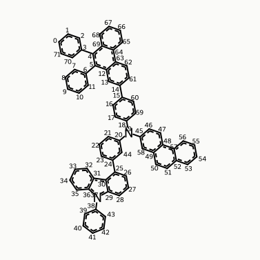 c1ccc(-c2c(-c3ccccc3)c3cc(-c4ccc(N(c5cccc(-c6cccc7c6c6ccccc6n7-c6ccccc6)c5)c5ccc6c(ccc7ccccc76)c5)cc4)ccc3c3ccccc23)cc1